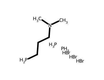 Br.Br.Br.CN(C)CCCP.P.P